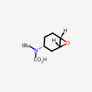 CC(C)(C)N(C(=O)O)[C@@H]1CC[C@@H]2O[C@@H]2C1